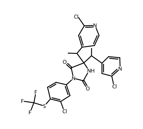 CC(c1ccnc(Cl)c1)C1(C(C)c2ccnc(Cl)c2)NC(=O)N(c2ccc(SC(F)(F)F)c(Cl)c2)C1=O